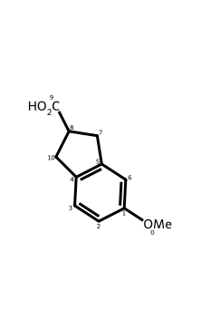 COc1ccc2c(c1)CC(C(=O)O)C2